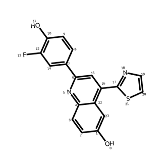 Oc1ccc2nc(-c3ccc(O)c(F)c3)cc(-c3nccs3)c2c1